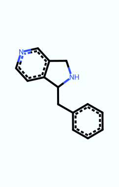 c1ccc(CC2NCc3cnccc32)cc1